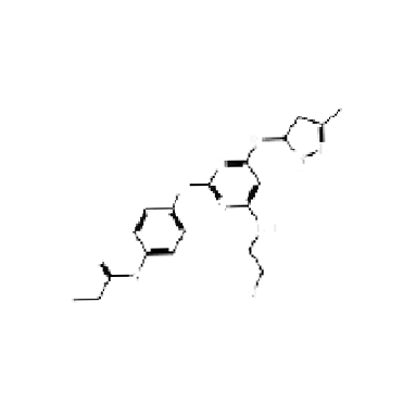 CCC(=O)Nc1ccc(Sc2nc(NCCN)cc(NC3CC(C)=NN3)n2)cc1